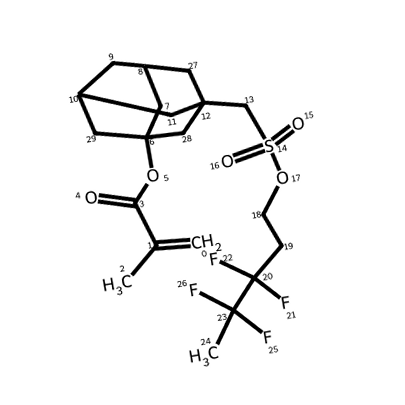 C=C(C)C(=O)OC12CC3CC(CC(CS(=O)(=O)OCCC(F)(F)C(C)(F)F)(C3)C1)C2